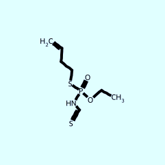 C=CCCSP(=O)(NC=S)OCC